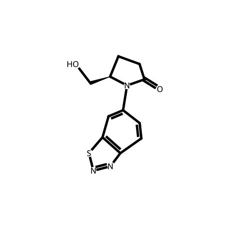 O=C1CC[C@H](CO)N1c1ccc2nnsc2c1